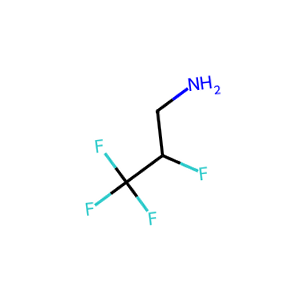 NCC(F)C(F)(F)F